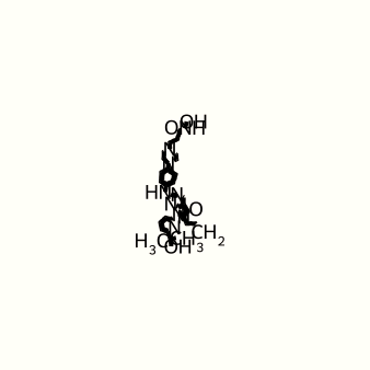 C=CCn1c(=O)c2cnc(Nc3ccc(N4CCN(CCC(=O)NO)CC4)cc3)nc2n1-c1cccc(C(C)(C)O)n1